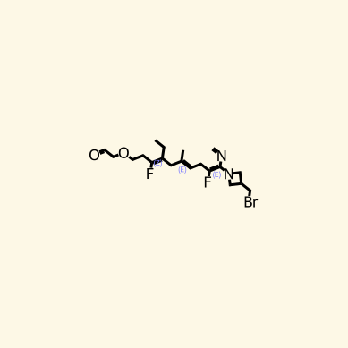 C=N/C(=C(/F)C/C=C(\C)C/C(CC)=C(\F)CCOCC=O)N1CC(CBr)C1